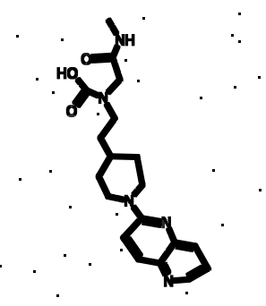 CNC(=O)CN(CCC1CCN(c2ccc3ncccc3n2)CC1)C(=O)O